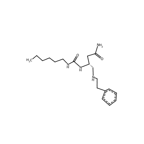 CCCCCCNC(=O)N[C@@H](CNCCc1ccccc1)CC(N)=O